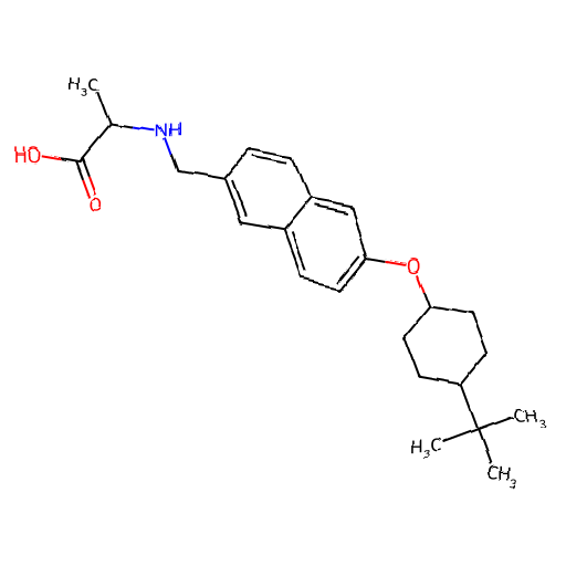 CC(NCc1ccc2cc(OC3CCC(C(C)(C)C)CC3)ccc2c1)C(=O)O